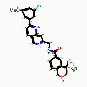 COc1cc(F)cc(-c2ccc3cnc(CNC(=O)c4ccc5c(c4)[C@](C)(C#N)COC5)cc3n2)c1